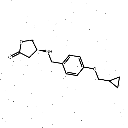 O=C1C[C@H](NCc2ccc(OCC3CC3)cc2)CO1